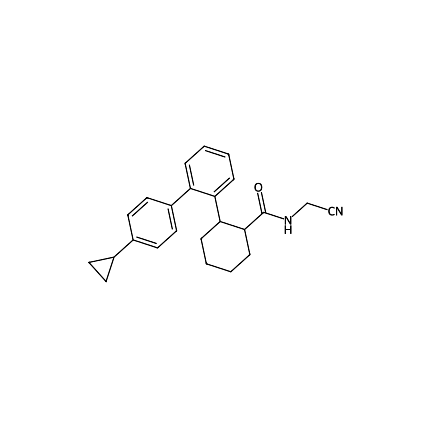 N#CCNC(=O)C1CCCCC1c1ccccc1-c1ccc(C2CC2)cc1